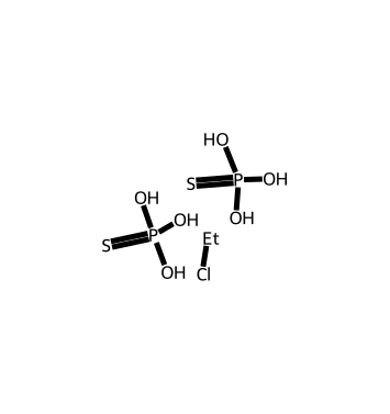 CCCl.OP(O)(O)=S.OP(O)(O)=S